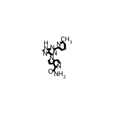 Cc1cccc(-c2nc(-n3ccc4c(C(N)=O)nccc43)c3nc[nH]c3n2)n1